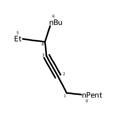 [CH2]CCCCCC#CC(CC)CCC[CH2]